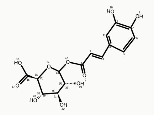 O=C(C=Cc1ccc(O)c(O)c1)OC1O[C@H](C(=O)O)[C@@H](O)[C@H](O)[C@H]1O